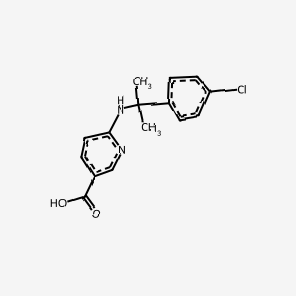 CC(C)(Nc1ccc(C(=O)O)cn1)c1ccc(Cl)cc1